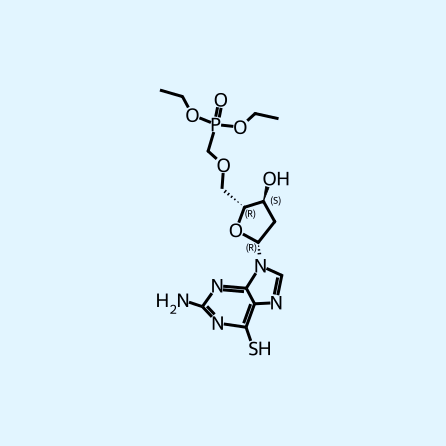 CCOP(=O)(COC[C@H]1O[C@@H](n2cnc3c(S)nc(N)nc32)C[C@@H]1O)OCC